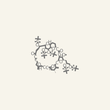 C=C1C2CC3O[C@H](CC(CO[Si](C)(C)C(C)(C)C)O[Si](C)(C)C(C)(C)C)[C@H](OC)[C@H]3CC(=O)CC3CC[C@@H]4OC(C(O[Si](C)(C)C(C)(C)C)/C=C/C(=O)CCC5CC(=C)[C@H](CC[C@@H](C[C@H]1C)O2)O5)C(O[Si](C)(C)C(C)(C)C)C(O[Si](C)(C)C(C)(C)C)C4O3